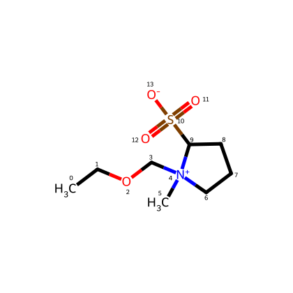 CCOC[N+]1(C)CCCC1S(=O)(=O)[O-]